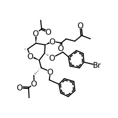 CC(=O)CCC(=O)O[C@H]1[C@H](OCc2ccc(Br)cc2)[C@@H]([C@@H](COC(C)=O)OCc2ccccc2)O[CH][C@H]1OC(C)=O